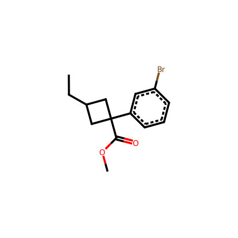 CCC1CC(C(=O)OC)(c2cccc(Br)c2)C1